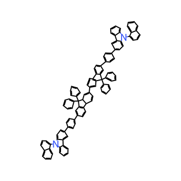 C1=CC2c3ccc(-c4ccc(-c5ccc6c(c5)c5ccccc5n6-c5cccc6ccccc56)cc4)cc3C(c3ccccc3)(c3ccccc3)C2C=C1c1ccc2c(c1)C(c1ccccc1)(c1ccccc1)c1cc(-c3ccc(-c4ccc5c(c4)c4ccccc4n5-c4cccc5ccccc45)cc3)ccc1-2